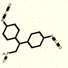 O=C=NC1CCC(C(C[PH2]=O)C2CCC(N=C=O)CC2)CC1